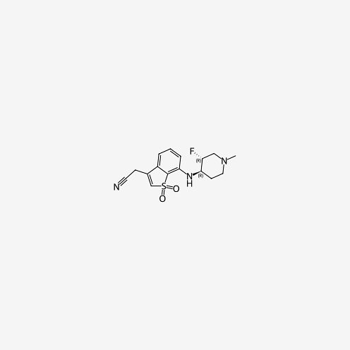 CN1CC[C@@H](Nc2cccc3c2S(=O)(=O)C=C3CC#N)[C@H](F)C1